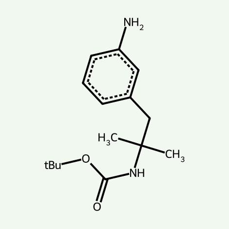 CC(C)(Cc1cccc(N)c1)NC(=O)OC(C)(C)C